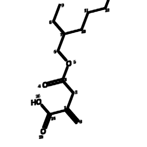 C=C(CC(=O)OCC(CC)CCCC)C(=O)O